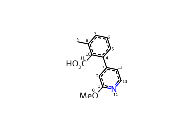 COc1cc(-c2cccc(C)c2C(=O)O)ccn1